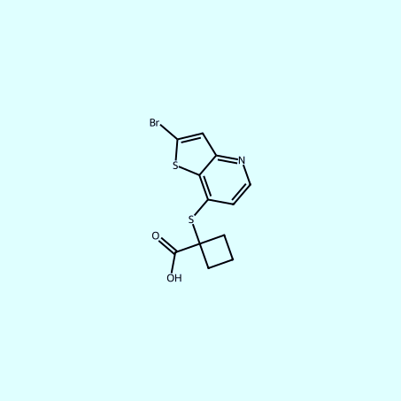 O=C(O)C1(Sc2ccnc3cc(Br)sc23)CCC1